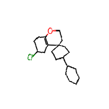 ClC1CCC2=C(C1)C1(CCO2)CCC(C2CCCCC2)CC1